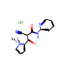 Cl.Cn1cccc1C(=O)C(C#N)C(=O)Nc1ccccn1